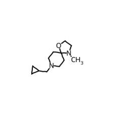 CN1CCOC12CCN(CC1CC1)CC2